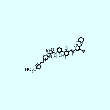 Cc1c(/C=C(\F)c2cc(C3CC3)c(CN3CCCC[C@H]3C)cn2)cccc1-c1cccc(NC(=O)c2nc3c(n2C)CCN(CCC24CCC(C(=O)O)(CC2)C4)C3)c1C